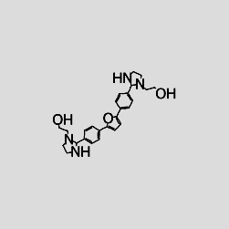 OCCN1CCNC1c1ccc(-c2ccc(-c3ccc(C4NCCN4CCO)cc3)o2)cc1